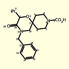 CC(C)C1OC2(CCN(C(=O)O)CC2)CN(Cc2ccccc2)C1=O